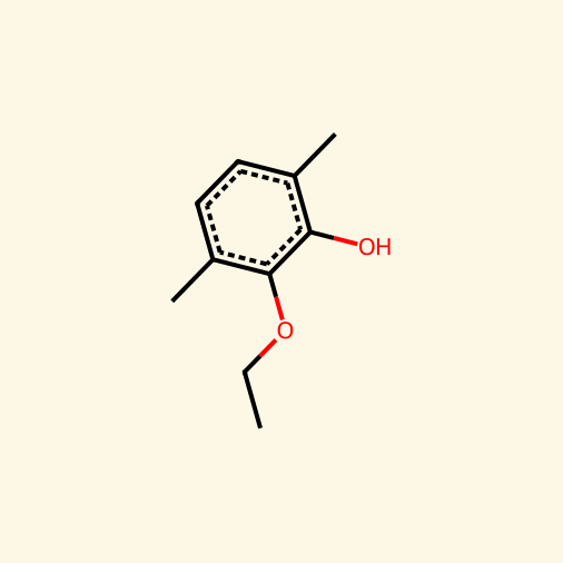 CCOc1c(C)ccc(C)c1O